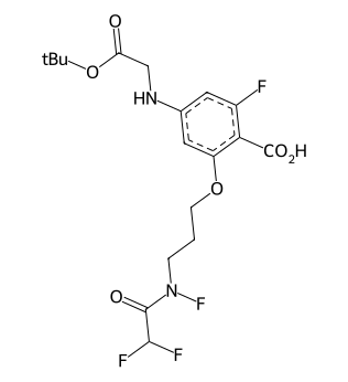 CC(C)(C)OC(=O)CNc1cc(F)c(C(=O)O)c(OCCCN(F)C(=O)C(F)F)c1